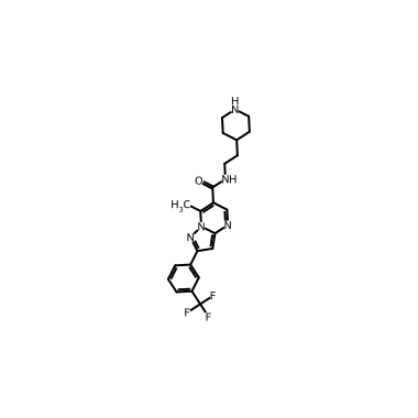 Cc1c(C(=O)NCCC2CCNCC2)cnc2cc(-c3cccc(C(F)(F)F)c3)nn12